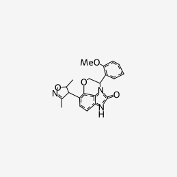 COc1ccccc1C1COc2c(C3C(C)=NOC3C)ccc3[nH]c(=O)n1c23